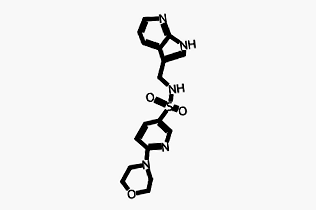 O=S(=O)(NCc1c[nH]c2ncccc12)c1ccc(N2CCOCC2)nc1